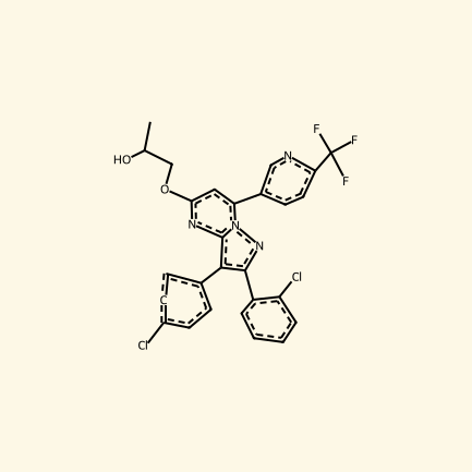 CC(O)COc1cc(-c2ccc(C(F)(F)F)nc2)n2nc(-c3ccccc3Cl)c(-c3ccc(Cl)cc3)c2n1